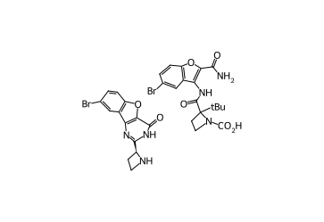 CC(C)(C)C1(C(=O)Nc2c(C(N)=O)oc3ccc(Br)cc23)CCN1C(=O)O.O=c1[nH]c([C@@H]2CCN2)nc2c1oc1ccc(Br)cc12